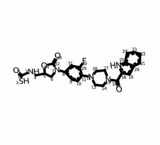 O=C(S)NCC1CN(c2ccc(N3CCN(C(=O)c4cc5ccccc5[nH]4)CC3)c(F)c2)C(=O)O1